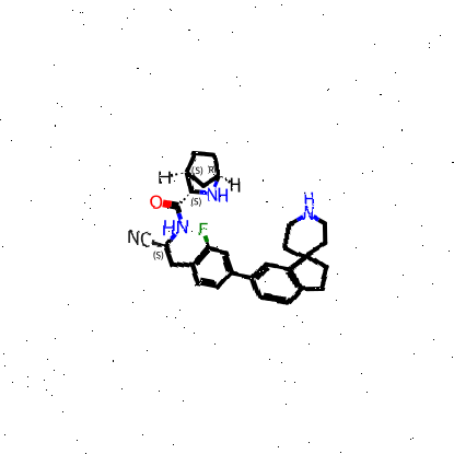 N#C[C@H](Cc1ccc(-c2ccc3c(c2)C2(CCNCC2)CC3)cc1F)NC(=O)[C@H]1N[C@@H]2CC[C@H]1C2